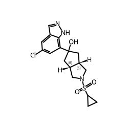 O=S(=O)(C1CC1)N1C[C@@H]2CC(O)(c3cc(Cl)cc4cn[nH]c34)C[C@@H]2C1